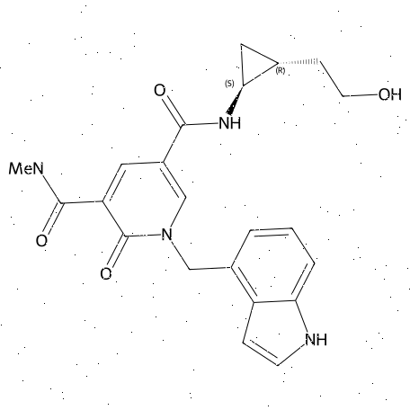 CNC(=O)c1cc(C(=O)N[C@H]2C[C@@H]2CCO)cn(Cc2cccc3[nH]ccc23)c1=O